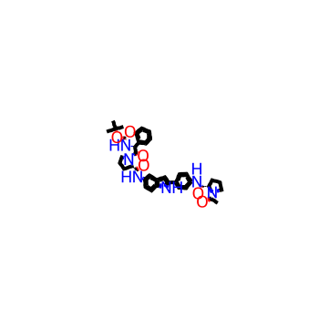 CC(=O)N1CCC[C@H]1C(=O)Nc1ccc(-c2cc3cc(NC(=O)[C@@H]4CCCN4C(=O)[C@H](NC(=O)OC(C)(C)C)c4ccccc4)ccc3[nH]2)cc1